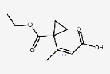 CCOC(=O)C1(/C(C)=C\C(=O)O)CC1